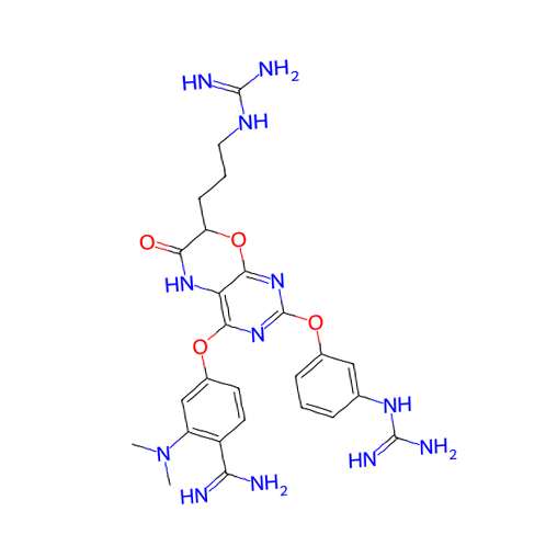 CN(C)c1cc(Oc2nc(Oc3cccc(NC(=N)N)c3)nc3c2NC(=O)C(CCCNC(=N)N)O3)ccc1C(=N)N